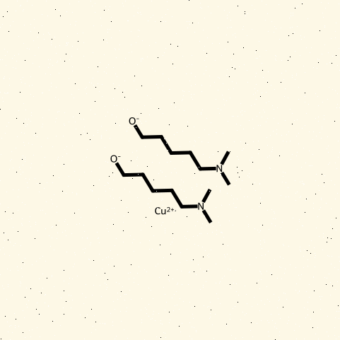 CN(C)CCCCC[O-].CN(C)CCCCC[O-].[Cu+2]